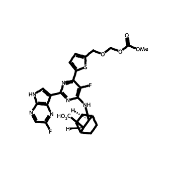 COC(=O)OCOCc1ccc(-c2nc(-c3c[nH]c4ncc(F)nc34)nc(N[C@H]3C4CCC(CC4)[C@@H]3C(=O)O)c2F)s1